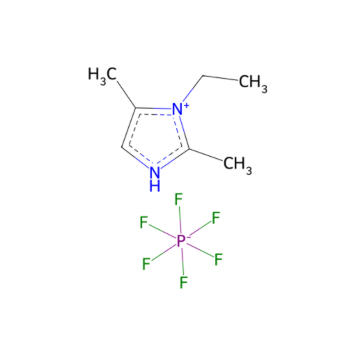 CC[n+]1c(C)c[nH]c1C.F[P-](F)(F)(F)(F)F